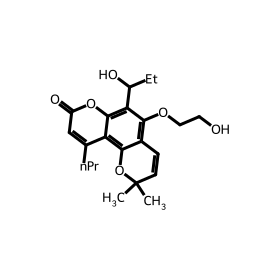 CCCc1cc(=O)oc2c(C(O)CC)c(OCCO)c3c(c12)OC(C)(C)C=C3